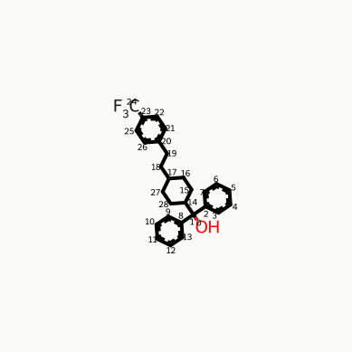 OC(c1ccccc1)(c1ccccc1)C1CCC(CCc2ccc(C(F)(F)F)cc2)CC1